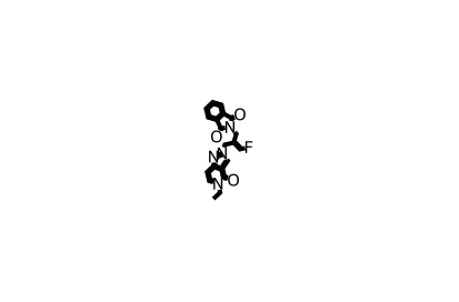 CCn1ccc2nn(CC(=CF)CN3C(=O)c4ccccc4C3=O)cc2c1=O